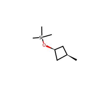 C[Si](C)(C)O[C@H]1C[C@@H](C)C1